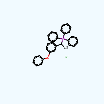 N#CC(c1cccc(Oc2ccccc2)c1)[P+](c1ccccc1)(c1ccccc1)c1ccccc1.[Br-]